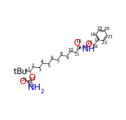 CC(C)(C)C(CCCCCCCCCCC(=O)NOCc1ccccc1)OC(N)=O